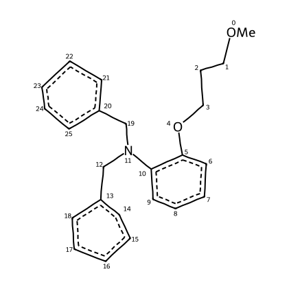 COCCCOc1ccccc1N(Cc1ccccc1)Cc1ccccc1